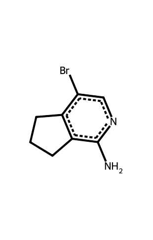 Nc1ncc(Br)c2c1CCC2